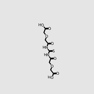 O=C(O)COCC(=O)NC(=S)NC(=O)COCC(=O)O